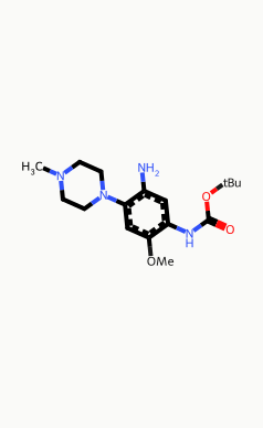 COc1cc(N2CCN(C)CC2)c(N)cc1NC(=O)OC(C)(C)C